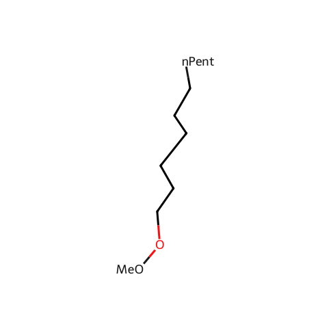 CCCCCCCCCCCOOC